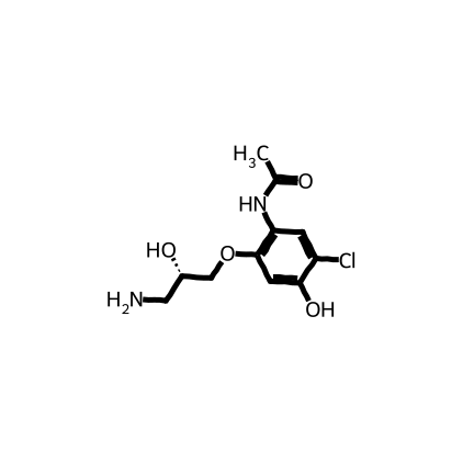 CC(=O)Nc1cc(Cl)c(O)cc1OC[C@@H](O)CN